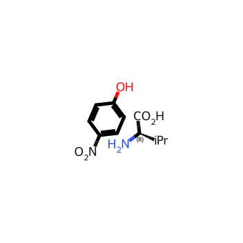 CC(C)[C@@H](N)C(=O)O.O=[N+]([O-])c1ccc(O)cc1